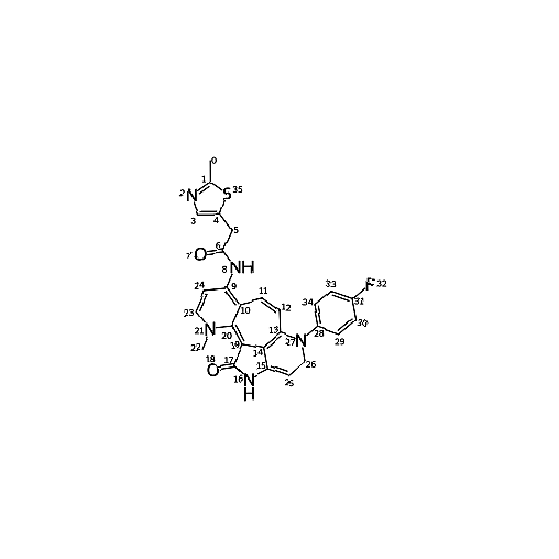 Cc1ncc(CC(=O)NC2=c3ccc4c5c([nH]c(=O)c-5c3N(C)C=C2)=CCN4c2ccc(F)cc2)s1